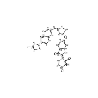 CN1CC[C@@H](c2ccc3cc(CN4CC[C@H](Oc5ccc6c(c5)CN(C5CCC(=O)NC5=O)C6=O)C4)ccc3n2)C1